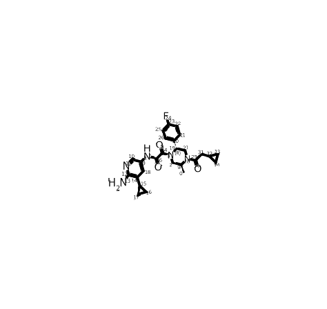 C[C@H]1CN(C(=O)C(=O)Nc2cnc(N)c(C3CC3)c2)[C@H](c2ccc(F)cc2)CN1C(=O)CC1CC1